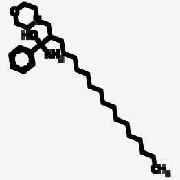 CCCCCCCCCCCCCCCCC(CN1CCOCC1)C(N)(O)c1ccccc1